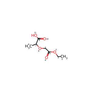 CCOC(=O)COC(C)C(=O)O